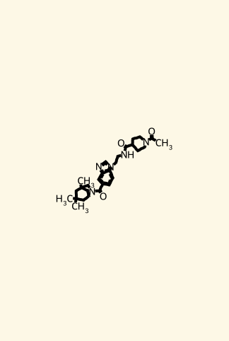 CC(=O)N1CCC(C(=O)NCCn2cnc3cc(C(=O)N4CC5(C)CC4CC(C)(C)C5)ccc32)CC1